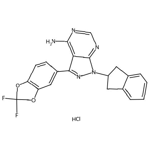 Cl.Nc1ncnc2c1c(-c1ccc3c(c1)OC(F)(F)O3)nn2C1Cc2ccccc2C1